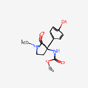 CC(=O)ON1CCC(NC(=O)OC(C)(C)C)(c2ccc(O)cc2)C1=O